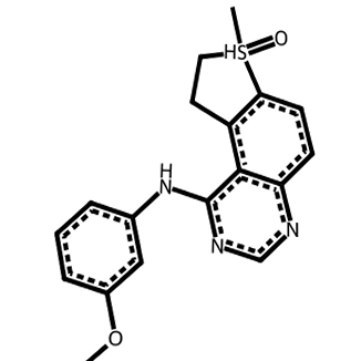 COc1cccc(Nc2ncnc3ccc4c(c23)CC[SH]4(C)=O)c1